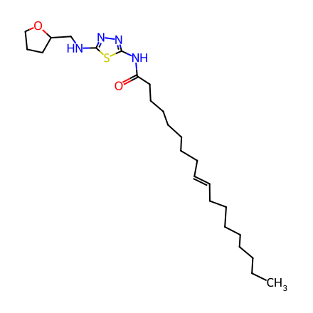 CCCCCCCC/C=C/CCCCCCCC(=O)Nc1nnc(NCC2CCCO2)s1